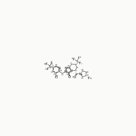 O=C([C@H]1C[C@@H](C(F)(F)F)Cc2nn(Cc3ncc(C(F)(F)F)cc3Cl)c(=O)n21)N1CC[C@H](F)C1